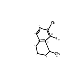 OC1CCCc2cnc(Cl)c(F)c21